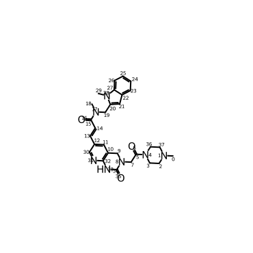 CN1CCN(C(=O)CN2Cc3cc(C=CC(=O)N(C)Cc4cc5ccccc5n4C)cnc3NC2=O)CC1